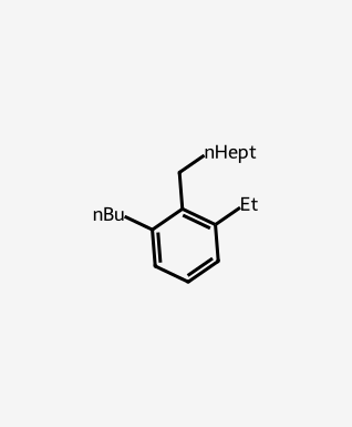 CCCCCCCCc1c(CC)cccc1CCCC